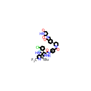 CC(C)(C)C[C@@H]1N[C@@H](C(=O)NC23CCC(C(=O)N4CCC[C@@H](c5ccc6c(c5)CN(C5CCC(=O)NC5=O)C6=O)C4)(CC2)CC3)[C@H](c2cccc(Cl)c2F)[C@]12CNc1cc(C(F)(F)F)ncc12